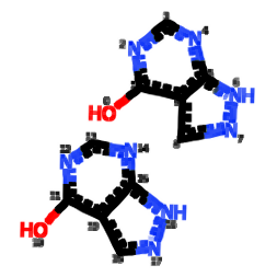 Oc1ncnc2[nH]ncc12.Oc1ncnc2[nH]ncc12